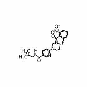 CC(C)CNC(=O)c1ccc(N2CCCN(C(=O)c3c(F)cccc3[N+](=O)[O-])C2)nc1